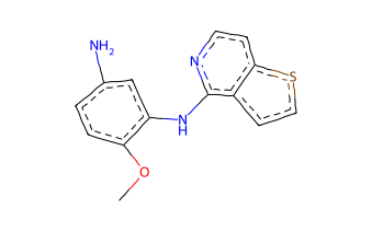 COc1ccc(N)cc1Nc1nccc2sccc12